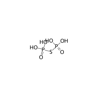 O=P(O)(O)SP(=O)(O)O